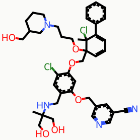 CC(CO)(CO)NCc1cc(Cl)c(OCC2(OCCCN3CCCC(CO)C3)C=CC=C(c3ccccc3)C2(C)Cl)cc1OCc1cncc(C#N)c1